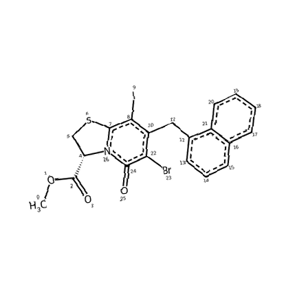 COC(=O)[C@@H]1CSc2c(I)c(Cc3cccc4ccccc34)c(Br)c(=O)n21